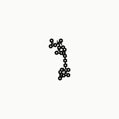 c1ccc(-n2c3ccccc3c3ccc(-c4nc5ccccc5nc4-c4ccc(-n5c6ccccc6c6cc7c8cc(-c9ccc(-c%10ccc(-c%11nnc(-n%12c%13ccccc%13c%13cc%14c%15ccccc%15n%15c%16ccc%17ccccc%17c%16c(c%13%12)c%14%15)c%12ccccc%11%12)cc%10)cc9)ccc8n8c9ccc%10ccccc%10c9c(c65)c78)cc4)cc32)cc1